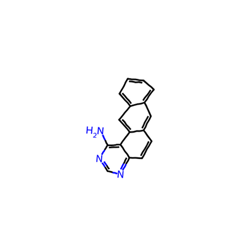 Nc1ncnc2ccc3cc4ccccc4cc3c12